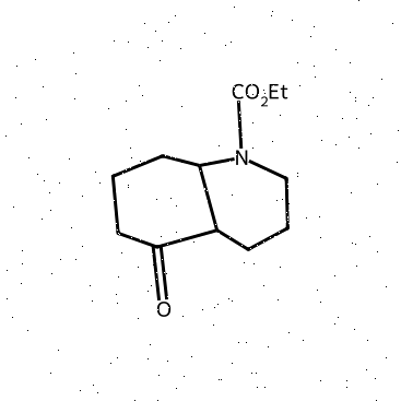 CCOC(=O)N1CCCC2C(=O)CCCC21